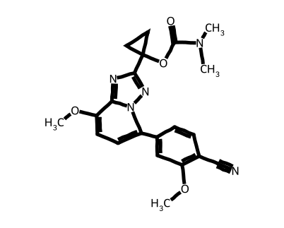 COc1cc(-c2ccc(OC)c3nc(C4(OC(=O)N(C)C)CC4)nn23)ccc1C#N